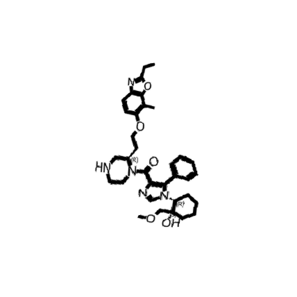 CCc1nc2ccc(OCC[C@@H]3CNCCN3C(=O)c3ncn([C@@H]4CCCC[C@@]4(O)COC)c3-c3ccccc3)c(C)c2o1